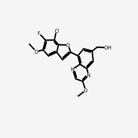 COc1cnc2c(-c3cc4cc(OC)c(F)c(Cl)c4o3)cc(CO)cc2n1